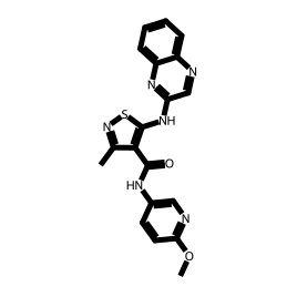 COc1ccc(NC(=O)c2c(C)nsc2Nc2cnc3ccccc3n2)cn1